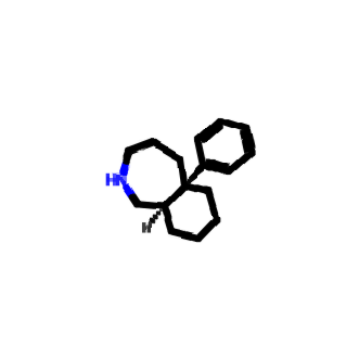 c1ccc([C@@]23CCCC[C@H]2CNCCC3)cc1